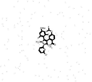 COc1cc(F)c(-c2c(-c3cc(OC(F)F)ccc3C(N)=O)c(=O)n(-c3cccc(Cl)n3)n2C)c(F)c1